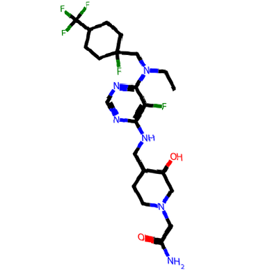 CCN(CC1(F)CCC(C(F)(F)F)CC1)c1ncnc(NCC2CCN(CC(N)=O)CC2O)c1F